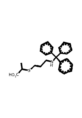 CC(SCCCNC(c1ccccc1)(c1ccccc1)c1ccccc1)C(=O)O